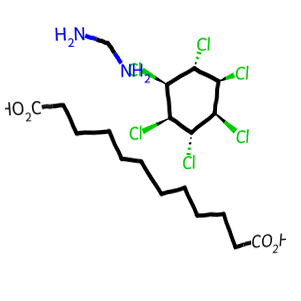 Cl[C@H]1[C@H](Cl)[C@@H](Cl)[C@@H](Cl)[C@H](Cl)[C@H]1Cl.NCN.O=C(O)CCCCCCCCCCC(=O)O